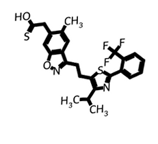 Cc1cc2c(CCc3sc(-c4ccccc4C(F)(F)F)nc3C(C)C)noc2cc1CC(O)=S